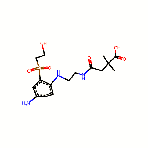 CC(C)(CC(=O)NCCNc1ccc(N)cc1S(=O)(=O)CCO)C(=O)O